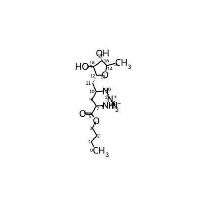 CCCCOC(=O)C(N)CC(C[C@H]1OC(C)[C@@H](O)C1O)N=[N+]=[N-]